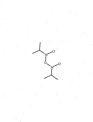 C[CH](C)[Al]([Cl])[O][Al]([Cl])[CH](C)C